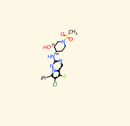 CC(C)c1c(Cl)c(F)c2cnc(N[C@@H]3CCN(S(C)(=O)=O)C[C@H]3O)nn12